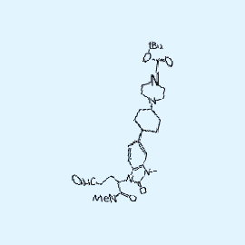 CNC(=O)C(CCC=O)n1c(=O)n(C)c2cc(C3CCC(N4CCN(C(=O)OC(C)(C)C)CC4)CC3)ccc21